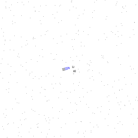 C#N.[Al].[Li]